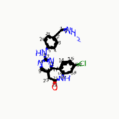 NCc1ccc(Nc2ncc3c(n2)-c2ccc(Cl)cc2NC(=O)C3)cc1